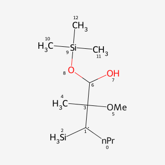 CCC[C]([SiH3])C(C)(OC)C(O)O[Si](C)(C)C